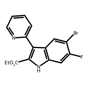 CCOC(=O)c1[nH]c2cc(F)c(Br)cc2c1-c1ccccn1